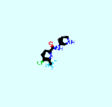 O=C(NC1CC2CNC1C2)c1ccc(Cl)c(C(F)(F)F)n1